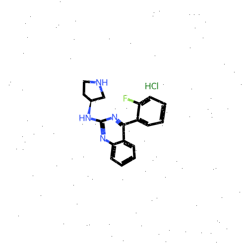 Cl.Fc1ccccc1-c1nc(N[C@H]2CCNC2)nc2ccccc12